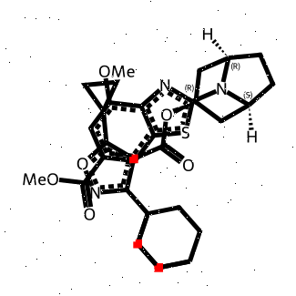 COC(=O)c1cc(OC)c2nc(N3[C@@H]4CC[C@H]3C[C@@H](OC(=O)c3c(C56CCC(CC5)CC6)noc3C3CC3)C4)sc2c1